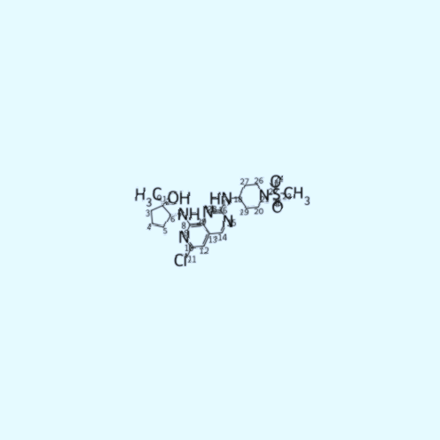 C[C@@]1(O)CCC[C@H]1Nc1nc(Cl)cc2cnc(NC3CCN(S(C)(=O)=O)CC3)nc12